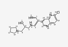 N=C/C(=C\NCC(O)CN1CCCC1)c1cnc2ccc(Cl)nc2c1